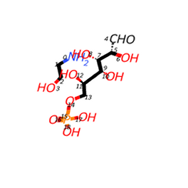 NCCO.O=C[C@H](O)[C@@H](O)[C@H](O)[C@H](O)COP(=O)(O)O